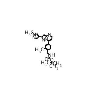 Cc1cc(-c2ccnc3cc(-c4cnn(C)c4)nn23)ccc1CNC(=O)OC(C)(C)C